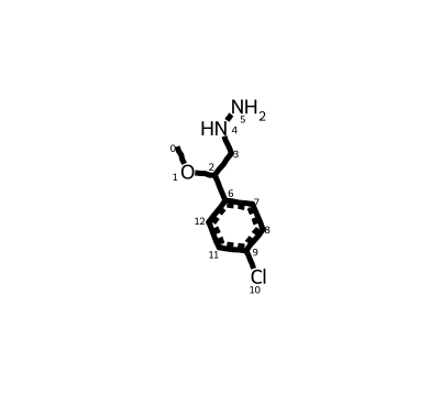 COC(CNN)c1ccc(Cl)cc1